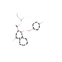 O=C(NC(CC(F)(F)F)C(=O)O)c1cc(F)c2ccccc2c1OCc1ccc(C(F)(F)F)cc1